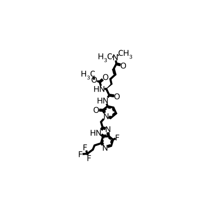 COC(=O)N[C@@H](CC/C=C/C(=O)N(C)C)C(=O)Nc1cccn(Cc2nc3c(F)cnc(CCC(F)(F)F)c3[nH]2)c1=O